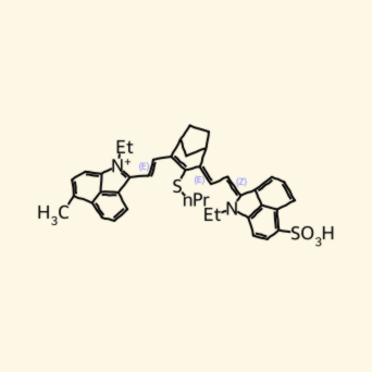 CCCSC1=C(/C=C/C2=[N+](CC)c3ccc(C)c4cccc2c34)C2CCC(C2)/C1=C\C=c1\c2cccc3c(S(=O)(=O)O)ccc(c32)n1CC